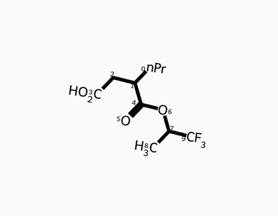 CCCC(CC(=O)O)C(=O)OC(C)C(F)(F)F